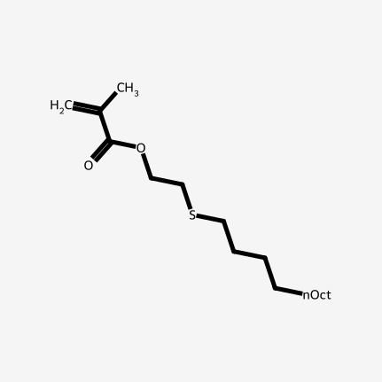 C=C(C)C(=O)OCCSCCCCCCCCCCCC